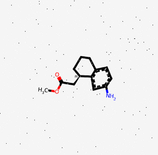 COC(=O)C[C@H]1CCCc2ccc(N)cc21